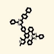 Cc1ccc(-c2ccc(-c3ccccc3-c3nc(-c4ccccc4)nc(-c4ccccc4)n3)c(-c3ccc(-c4cc(-c5ccc(-c6ccccc6)cc5)nc(-c5ccccc5)n4)cc3)c2)c(C)n1